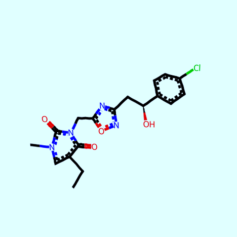 CCc1cn(C)c(=O)n(Cc2nc(C[C@H](O)c3ccc(Cl)cc3)no2)c1=O